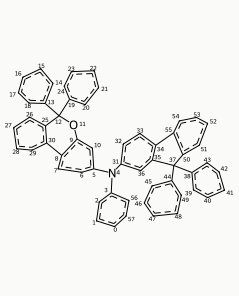 c1ccc(N(c2ccc3c(c2)OC(c2ccccc2)(c2ccccc2)c2ccccc2-3)c2ccc3c(c2)C(c2ccccc2)(c2ccccc2)c2ccccc2-3)cc1